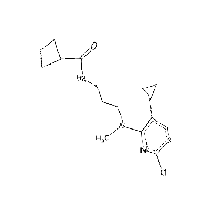 CN(CCCNC(=O)C1CCC1)c1nc(Cl)ncc1C1CC1